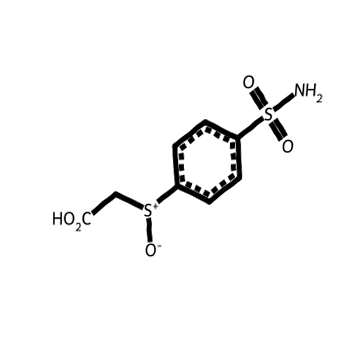 NS(=O)(=O)c1ccc([S+]([O-])CC(=O)O)cc1